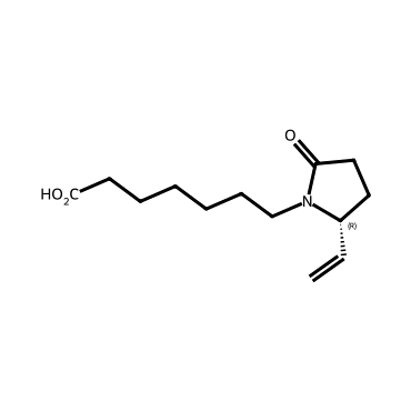 C=C[C@H]1CCC(=O)N1CCCCCCC(=O)O